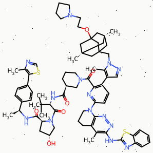 Cc1ncsc1-c1ccc([C@H](C)NC(=O)[C@@H]2C[C@@H](O)CN2C(=O)[C@@H](NC(=O)[C@H]2CCCN(C(=O)c3nc(N4CCCc5c4nnc(Nc4nc6ccccc6s4)c5C)ccc3-c3cnn(CC45CC6(OCCN7CCCC7)C[C@](C)(C4)C[C@](C)(C5)C6)c3C)C2)C(C)(C)C)cc1